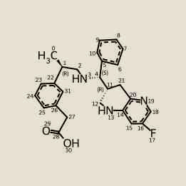 C[C@@H](CN[C@H](c1ccccc1)[C@H]1CNc2cc(F)cnc2C1)c1cccc(CC(=O)O)c1